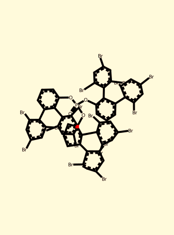 O=P(Oc1cccc(-c2c(Br)cc(Br)cc2Br)c1-c1c(Br)cc(Br)cc1Br)(Oc1cccc(-c2c(Br)cc(Br)cc2Br)c1-c1c(Br)cc(Br)cc1Br)Oc1cccc(-c2c(Br)cc(Br)cc2Br)c1-c1c(Br)cc(Br)cc1Br